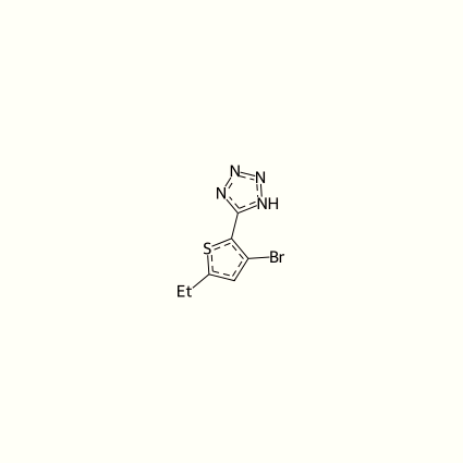 CCc1cc(Br)c(-c2nnn[nH]2)s1